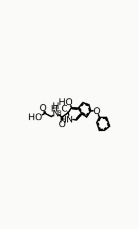 CC1(C(=O)NCC(=O)O)NC=c2cc(Oc3ccccc3)ccc2=C1O